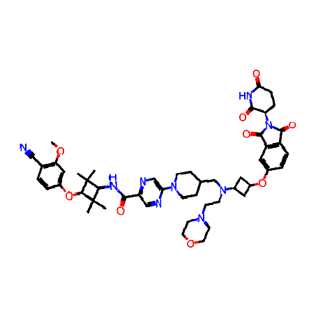 COc1cc(OC2C(C)(C)C(NC(=O)c3cnc(N4CCC(CN(CCN5CCOCC5)C5CC(Oc6ccc7c(c6)C(=O)N([C@@H]6CCC(=O)NC6=O)C7=O)C5)CC4)cn3)C2(C)C)ccc1C#N